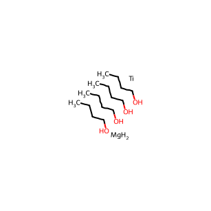 CCCCO.CCCCO.CCCCO.CCCCO.[MgH2].[Ti]